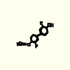 CCCCCCCCCCOc1ccc(-c2ccc(O)c(F)c2)cc1F